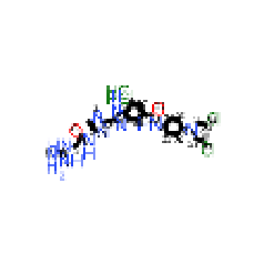 Cl.Cl.Cn1cc(NC(=O)CNC(=N)N)nc1-c1nc2cc(C(=O)Nc3ccc(N(CCCl)CCCl)cc3)ccc2[nH]1